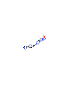 CC(C)NC(=O)N1CCN(C2CCN(C(C)(C)CCC(C)(C)N3CCC(C4CCCN(C)CC4)CC3)CC2)CC1